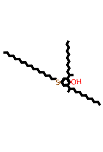 CCCCCCCCCCCCCCCCCCSc1cc(C(C)CCCCCCCCCC)c(O)c(C(C)CCCCCCCCCC)c1